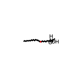 CCCCCCCCCCCCC#CC#CCCCCCCCCC(=O)NC(C)(O)CCC